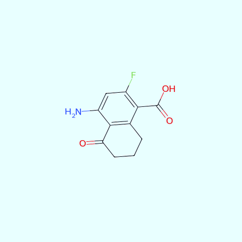 Nc1cc(F)c(C(=O)O)c2c1C(=O)CCC2